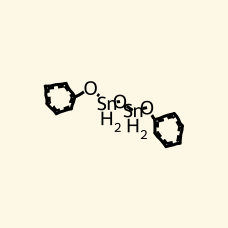 c1ccc([O][SnH2][O][SnH2][O]c2ccccc2)cc1